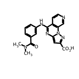 CN(C)C(=O)c1cccc(Nc2nc3cc(C(=O)O)nn3c3cnccc23)c1